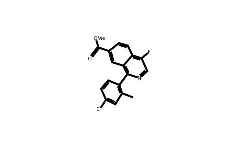 COC(=O)c1ccc2c(F)cnc(-c3ccc(Cl)cc3C)c2c1